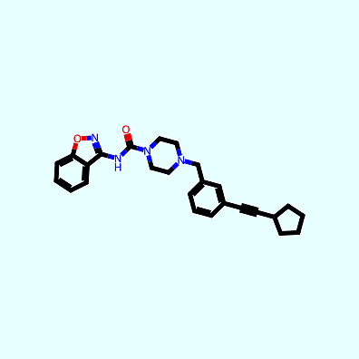 O=C(Nc1noc2ccccc12)N1CCN(Cc2cccc(C#CC3CCCC3)c2)CC1